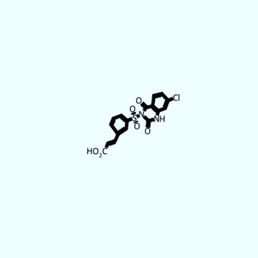 O=C(O)C=Cc1cccc(S(=O)(=O)n2c(=O)[nH]c3cc(Cl)ccc3c2=O)c1